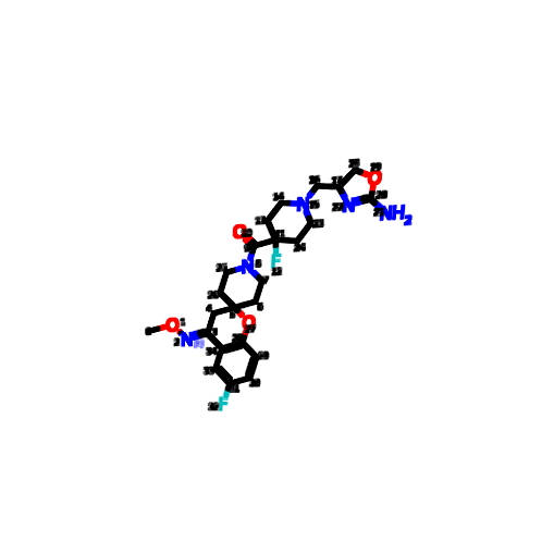 CO/N=C1\CC2(CCN(C(=O)C3(F)CCN(CC4COC(N)=N4)CC3)CC2)Oc2ccc(F)cc21